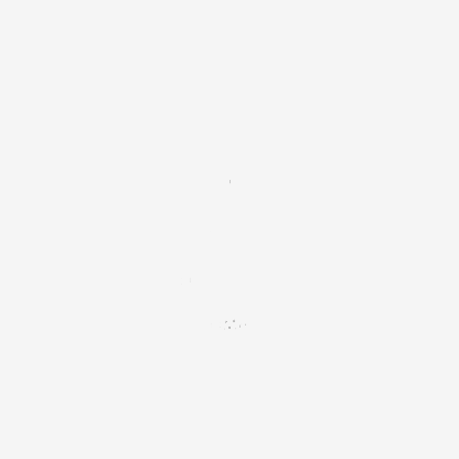 CCc1ccc(OCc2ccccc2)cc1OCOC